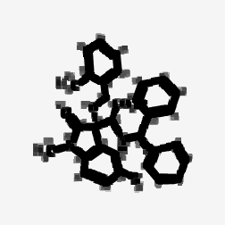 CCOC(=O)[C@@H](NC(c1ccccc1)c1ccccc1)[C@]1(OCc2ccccc2C)C(=O)N(C)c2ccc(Br)cc21